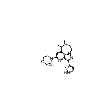 CC1c2cc(N3CCOC[C@H]3C)nc3c(-c4cc[nH]n4)nn(c23)CCN1C